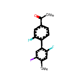 COC(=O)c1ccc(-c2cc(I)c(OC)cc2F)c(F)c1